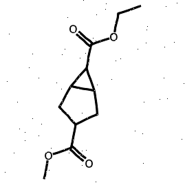 CCOC(=O)C1C2CC(C(=O)OC)CC21